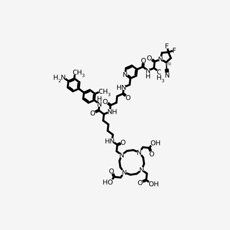 Cc1cc(-c2ccc(NC(=O)C(CCCCNC(=O)CN3CCN(CC(=O)O)CCN(CC(=O)O)CCN(CC(=O)O)CC3)NC(=O)CCC(=O)NCc3cc(C(=O)NC(C)C(=O)N4CC(F)(F)C[C@H]4C#N)ccn3)c(C)c2)ccc1N